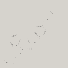 CCCCC(NC(=O)Cc1ccc(OOC(=O)CC(=O)O)cc1)c1ccccc1N1CCCCC1